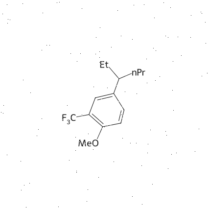 CCCC(CC)c1ccc(OC)c(C(F)(F)F)c1